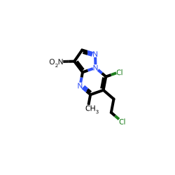 Cc1nc2c([N+](=O)[O-])cnn2c(Cl)c1CCCl